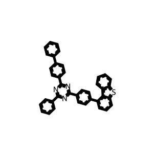 c1ccc(-c2ccc(-c3nc(-c4ccccc4)nc(-c4ccc(-c5cccc6sc7ccccc7c56)cc4)n3)cc2)cc1